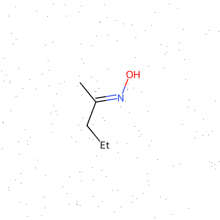 [CH2]CCC(C)=NO